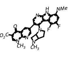 CNc1cc(F)c(F)c2c1[nH]c1ncc(-c3cnc4c(c3)c(=O)c(C(=O)O)cn4C)c(N3CCC4C3CN4C)c12